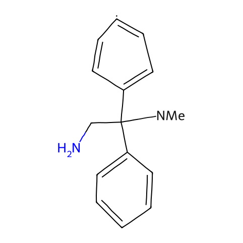 CNC(CN)(c1cc[c]cc1)c1ccccc1